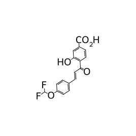 O=C(O)c1ccc(C(=O)/C=C/c2ccc(OC(F)F)cc2)c(O)c1